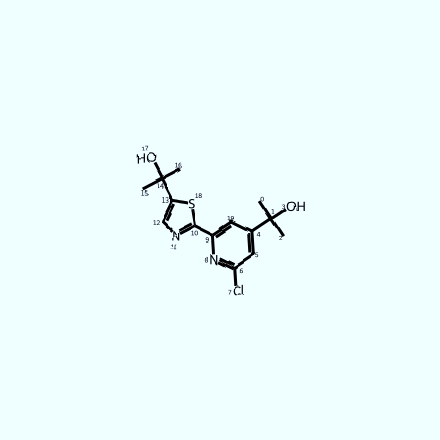 CC(C)(O)c1cc(Cl)nc(-c2ncc(C(C)(C)O)s2)c1